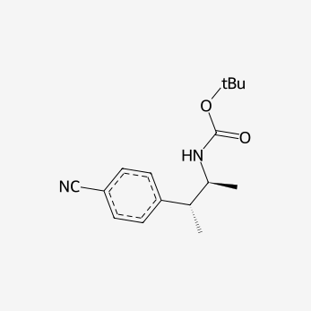 C[C@H](NC(=O)OC(C)(C)C)[C@H](C)c1ccc(C#N)cc1